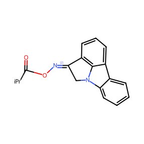 CC(C)C(=O)O/N=C1\Cn2c3ccccc3c3cccc1c32